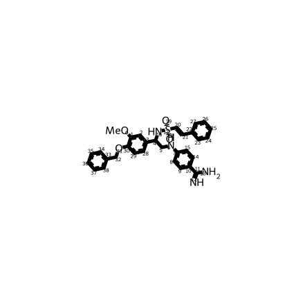 COc1cc(C(CNc2ccc(C(=N)N)cc2)NS(=O)(=O)C=Cc2ccccc2)ccc1OCc1ccccc1